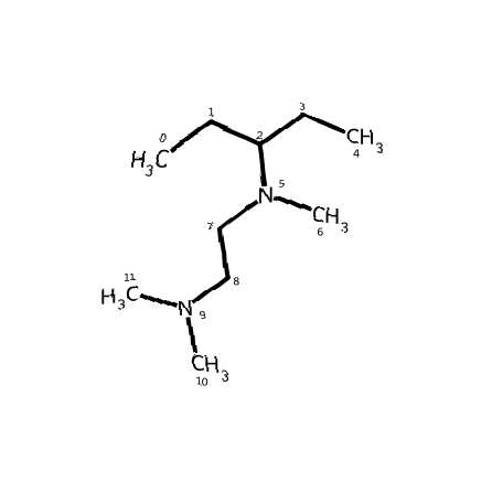 CCC(CC)N(C)CCN(C)C